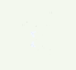 CCc1cccc(N=C=Nc2ccccc2)c1CC